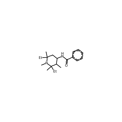 CCC1(C)CC(NC(=O)c2ccccc2)C(C)C(C)(CC)N1C